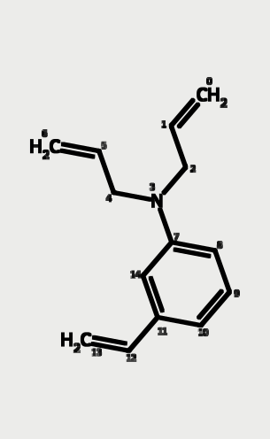 C=CCN(CC=C)c1cccc(C=C)c1